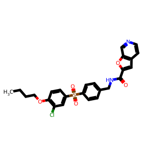 CCCCOc1ccc(S(=O)(=O)c2ccc(CNC(=O)c3cc4ccncc4o3)cc2)cc1Cl